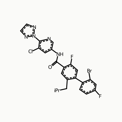 CC(C)Cc1cc(C(=O)Nc2cnc(-n3nccn3)c(Cl)c2)c(F)cc1-c1ccc(F)cc1Br